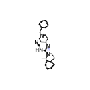 CC1c2ccccc2CCN1/C(=N/C1CCN(Cc2ccccc2)CC1)NC#N